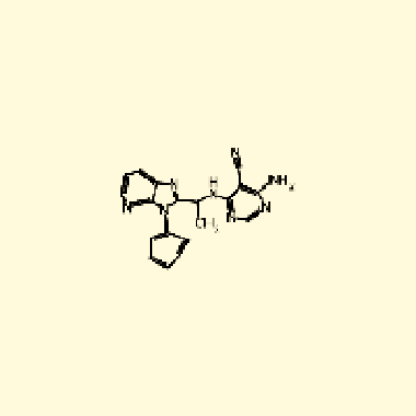 CC(Nc1ncnc(N)c1C#N)c1nc2cccnc2n1-c1ccccc1